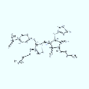 CCCCc1ncc(/C=C2\C(=O)N(CCCC)C(=O)N2Cc2ccsc2)n1Cc1ccc(C(=O)O)cc1